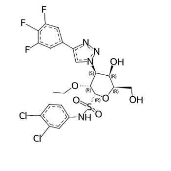 CCO[C@@H]1[C@@H](n2cc(-c3cc(F)c(F)c(F)c3)nn2)[C@@H](O)[C@@H](CO)O[C@@H]1S(=O)(=O)Nc1ccc(Cl)c(Cl)c1